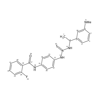 CNc1cccc(C(C)NC(=S)Nc2ccc(NC(=O)c3ccccc3F)cc2)c1